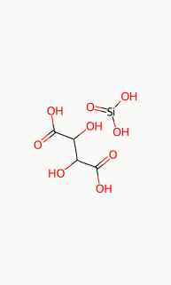 O=C(O)C(O)C(O)C(=O)O.O=[Si](O)O